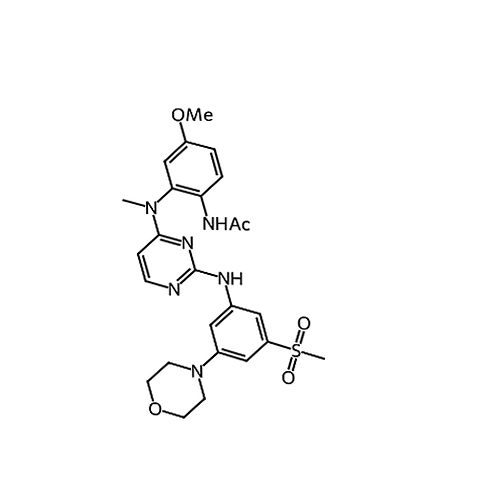 COc1ccc(NC(C)=O)c(N(C)c2ccnc(Nc3cc(N4CCOCC4)cc(S(C)(=O)=O)c3)n2)c1